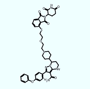 NC(=O)c1c(-c2ccc(Oc3ccccc3)cc2)nn2c1NCCC2C1CCN(CCOCCSc2cccc3c2C(=O)N(C2CCC(=O)NC2=O)C3=O)CC1